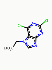 CCOC(=O)Cn1cnc2nc(Cl)nc(Cl)c21